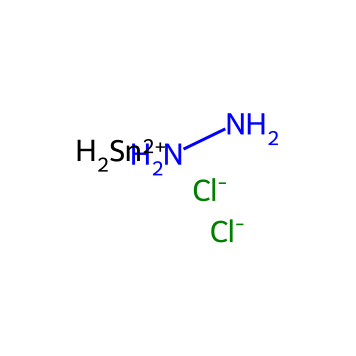 NN.[Cl-].[Cl-].[SnH2+2]